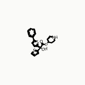 O=C(OC1CCNCC1)[C@](O)(c1cccs1)c1ccc(-c2ccccc2)s1